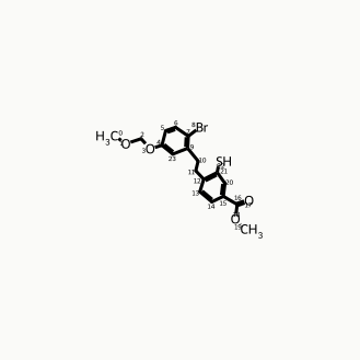 COCOc1ccc(Br)c(CCc2ccc(C(=O)OC)cc2S)c1